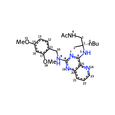 CCCC[C@](C)(CNC(C)=O)Nc1nc(NCc2ccc(OC)cc2OC)nc2cccnc12